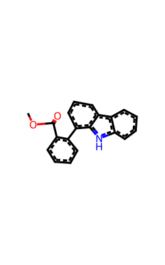 COC(=O)c1ccccc1-c1cccc2c1[nH]c1ccccc12